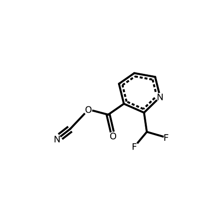 N#COC(=O)c1cccnc1C(F)F